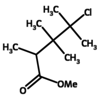 COC(=O)C(C)C(C)(C)C(C)(C)Cl